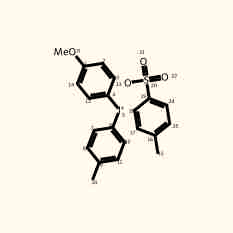 COc1ccc([I+]c2ccc(C)cc2)cc1.Cc1ccc(S(=O)(=O)[O-])cc1